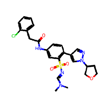 CN(C)C=NS(=O)(=O)c1cc(NC(=O)Cc2ccccc2Cl)ccc1-c1cnn(C2CCOC2)c1